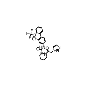 O=C(Nc1ccc(-c2ccccc2OC(F)(F)F)c(Cl)c1)[C@H]1CCCCN1C(=O)Cn1ccnn1